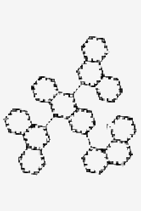 c1ccc2c(c1)cc(-c1c3ccccc3c(-c3cc4ccccc4c4ccccc34)c3cc(-c4cccc5ccc6cccnc6c45)ccc13)c1ccccc12